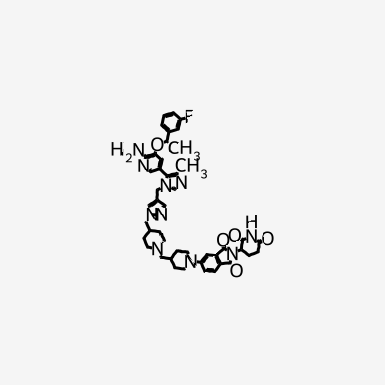 Cc1ncn(Cc2cnn(CC3CCN(CC4CCN(c5ccc6c(c5)C(=O)N(C5CCC(=O)NC5=O)C6=O)CC4)CC3)c2)c1-c1cnc(N)c(O[C@H](C)c2cccc(F)c2)c1